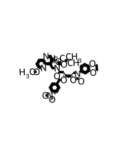 COc1ccc2ncc(F)c(CN(CC[C@@H](OC(=O)c3ccc([N+](=O)[O-])cc3)[C@@H]3CN(c4ccc5c(c4)OCCO5)C(=O)O3)C(=O)OC(C)(C)C)c2n1